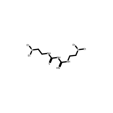 CCN(CC)CCNC(=N)NC(=S)NCCN(CC)CC